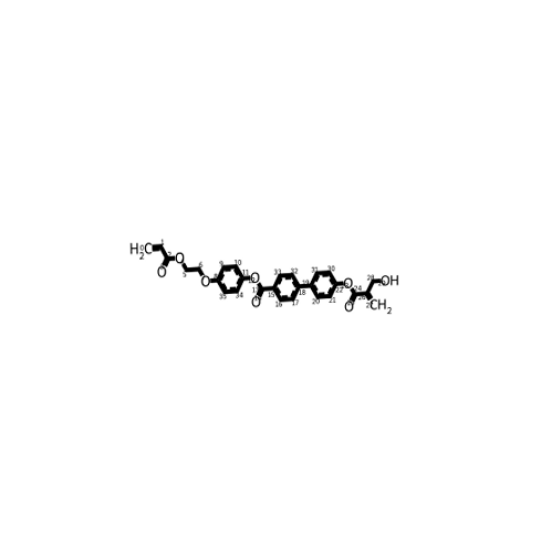 C=CC(=O)OCCOc1ccc(OC(=O)c2ccc(-c3ccc(OC(=O)C(=C)CO)cc3)cc2)cc1